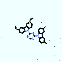 C=Cc1ccc2c(c1)c1cc(C=C)ccc1n2-c1ncnc(-n2c3ccc(C)cc3c3cc(C)ccc32)n1